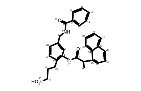 CC(C(=O)Nc1cc(CNC(=O)c2ccccc2)ccc1CCCC(=O)O)c1cccc2ccccc12